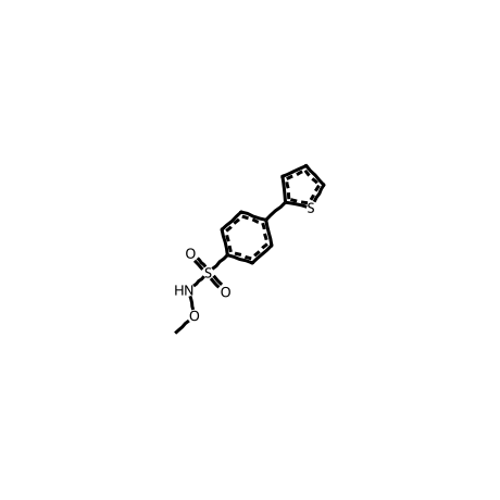 CONS(=O)(=O)c1ccc(-c2cccs2)cc1